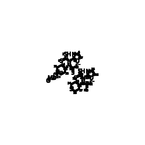 S=C(S)N(c1ncco1)N(C(=S)[S-])N1CCSCC1.S=C(S)N(c1ncco1)N(C(=S)[S-])N1CCSCC1.[O]=[Mo+2]=[O]